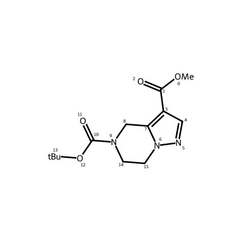 COC(=O)c1cnn2c1CN(C(=O)OC(C)(C)C)CC2